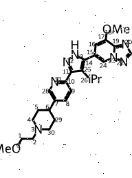 COCCN1CCC(c2ccc(-c3n[nH]c(-c4cc(OC)c5ncnn5c4)c3C(C)C)nc2)CC1